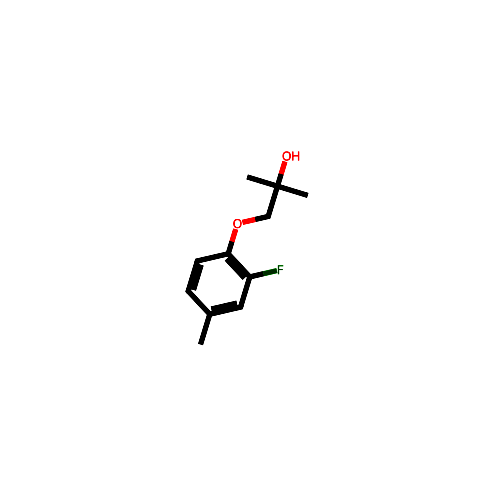 Cc1ccc(OCC(C)(C)O)c(F)c1